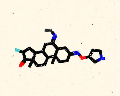 CON=C1CC2C3CC(F)C(=O)C3(C)CCC2C2(C)CCC(=NOC3CCNC3)CC12